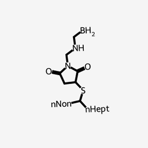 BCNCN1C(=O)CC(SC(CCCCCCC)CCCCCCCCC)C1=O